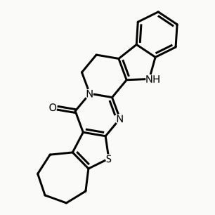 O=c1c2c3c(sc2nc2n1CCc1c-2[nH]c2ccccc12)CCCCC3